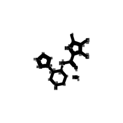 Br.Cc1[nH]c(C(=O)N[C@@H]2CCNC[C@H]2n2ccnn2)c(Cl)c1Cl